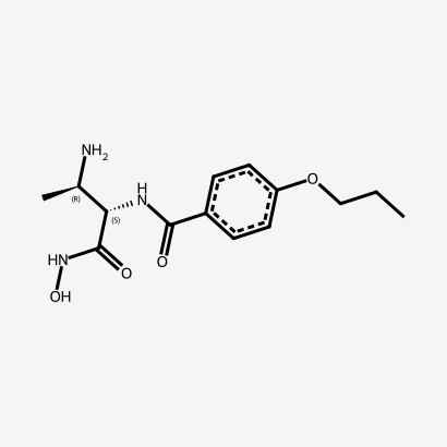 CCCOc1ccc(C(=O)N[C@H](C(=O)NO)[C@@H](C)N)cc1